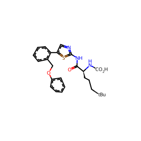 CC(C)(C)CCC[C@H](NC(=O)O)C(=O)Nc1ncc(-c2ccccc2COc2ccccc2)s1